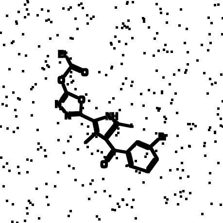 CCC(=O)Oc1nnc(-c2[nH]c(C)c(C(=O)c3cccc(Br)c3)c2C)o1